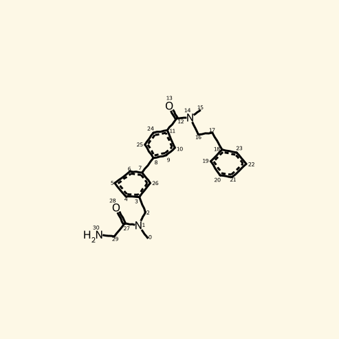 CN(Cc1cccc(-c2ccc(C(=O)N(C)CCc3ccccc3)cc2)c1)C(=O)CN